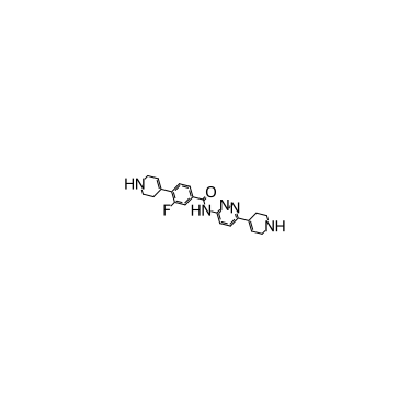 O=C(Nc1ccc(C2=CCNCC2)nn1)c1ccc(C2=CCNCC2)c(F)c1